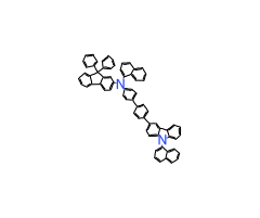 c1ccc(C2(c3ccccc3)c3ccccc3-c3ccc(N(c4ccc(-c5ccc(-c6ccc7c(c6)c6ccccc6n7-c6cccc7ccccc67)cc5)cc4)c4cccc5ccccc45)cc32)cc1